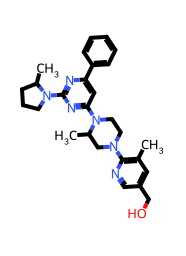 Cc1cc(CO)cnc1N1CCN(c2cc(-c3ccccc3)nc(N3CCCC3C)n2)C(C)C1